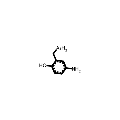 Nc1ccc(O)c(C[AsH2])c1